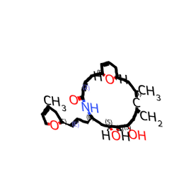 C=C1C[C@H](C)C[C@@H]2CC=C[C@@H](C/C=C\C(=O)N[C@H](C/C=C/[C@@H]3CC(C)=CCO3)C[C@@H]3O[C@H]3[C@@H](O)C1)O2